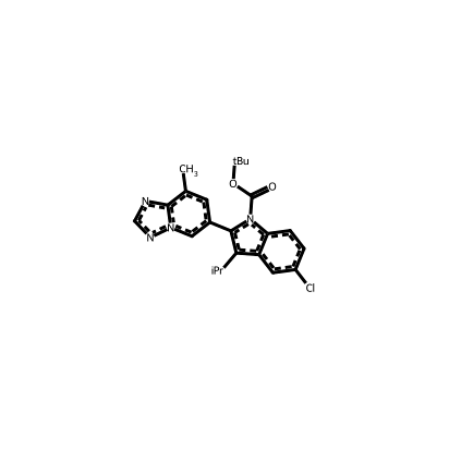 Cc1cc(-c2c(C(C)C)c3cc(Cl)ccc3n2C(=O)OC(C)(C)C)cn2ncnc12